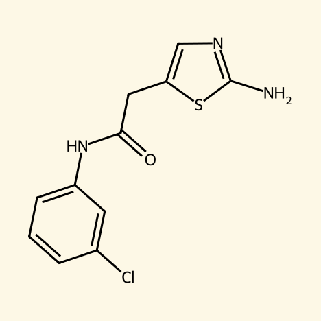 Nc1ncc(CC(=O)Nc2cccc(Cl)c2)s1